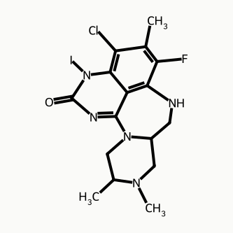 Cc1c(F)c2c3c(nc(=O)n(I)c3c1Cl)N1CC(C)N(C)CC1CN2